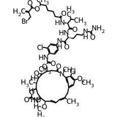 C=C(CBr)C(=O)OC(C)CCCCC(=O)N[C@H](C(=O)N[C@@H](CCCNC(N)=O)C(=O)Nc1ccc(NC(=O)O[C@H]2CC(=O)N(C)c3cc(cc(OC)c3Cl)C/C(C)=C/C=C/[C@@H](OC)[C@@]3(O)C[C@H](OC(=O)N3)[C@@H](C)[C@@H]3O[C@@]23C)c(Cl)c1)C(C)C